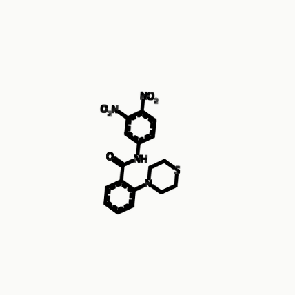 O=C(Nc1ccc([N+](=O)[O-])c([N+](=O)[O-])c1)c1ccccc1N1CCSCC1